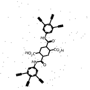 C#Cc1cc(NC(=O)C2CC(C(=O)O)C(C(=O)Nc3cc(C#C)c(C#C)c(C#C)c3)CC2C(=O)O)cc(C#C)c1C#C